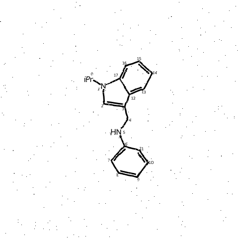 CC(C)n1cc(CNc2ccccc2)c2ccccc21